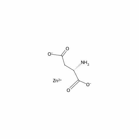 N[C@@H](CC(=O)[O-])C(=O)[O-].[Zn+2]